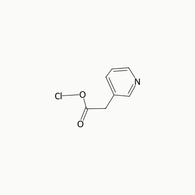 O=C(Cc1cccnc1)OCl